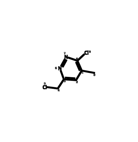 Cc1cc(CCl)nnc1Cl